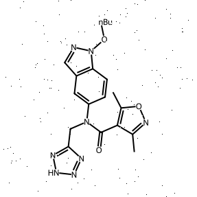 CCCCOn1ncc2cc(N(Cc3nn[nH]n3)C(=O)c3c(C)noc3C)ccc21